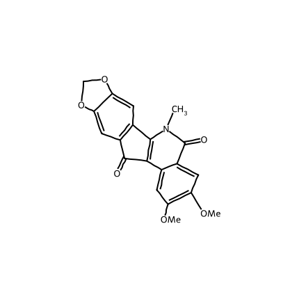 COc1cc2c3c(n(C)c(=O)c2cc1OC)-c1cc2c(cc1C3=O)OCO2